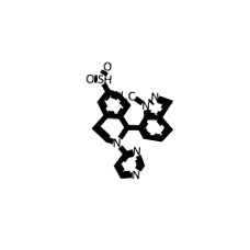 Cn1ncc2cccc(C3c4ccc([SH](=O)=O)cc4C=CN3c3ccncn3)c21